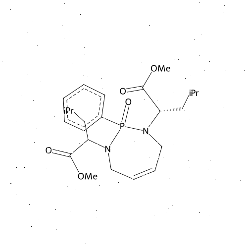 COC(=O)C(CC(C)C)N1CC=CCN([C@@H](CC(C)C)C(=O)OC)P1(=O)c1ccccc1